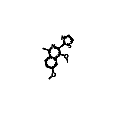 COc1ccc2c(C)nc(-c3nccs3)c(OC)c2c1